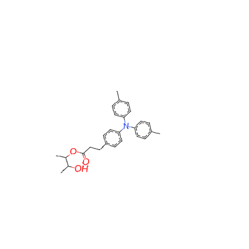 Cc1ccc(N(c2ccc(C)cc2)c2ccc(CCC(=O)OC(C)C(C)O)cc2)cc1